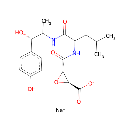 CC(C)CC(NC(=O)[C@H]1O[C@@H]1C(=O)[O-])C(=O)NC(C)[C@@H](O)c1ccc(O)cc1.[Na+]